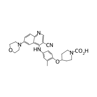 Cc1cc(Nc2c(C#N)cnc3ccc(N4CCOCC4)cc23)ccc1OC1CCN(C(=O)O)CC1